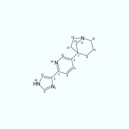 c1nc(-c2ccc(C34CCCN(CC3)C4)cn2)c[nH]1